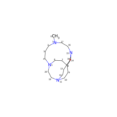 CN1CCCN2CCC3CCN(CCCN(CC1)C3)CC2